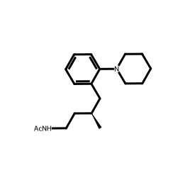 CC(=O)NCC[C@H](C)Cc1ccccc1N1CCCCC1